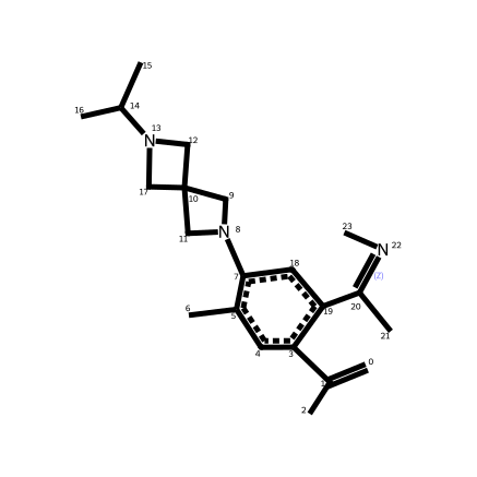 C=C(C)c1cc(C)c(N2CC3(C2)CN(C(C)C)C3)cc1/C(C)=N\C